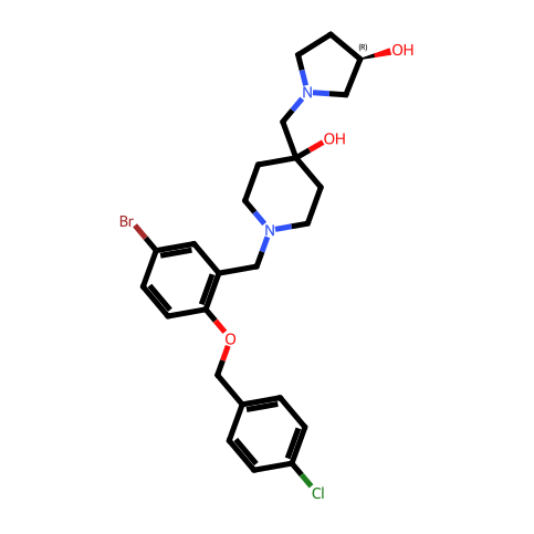 O[C@@H]1CCN(CC2(O)CCN(Cc3cc(Br)ccc3OCc3ccc(Cl)cc3)CC2)C1